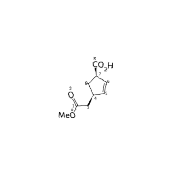 COC(=O)C[C@@H]1C=C[C@H](C(=O)O)C1